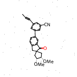 CC#Cc1cc(C#N)cc(-c2ccc3c(c2)C(=O)C2(C3)C[C@H](OC)[C@H](OC)C2)c1